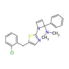 CN(C)C1(c2ccccc2)C=CN1c1ncc(Cc2ccccc2Cl)s1